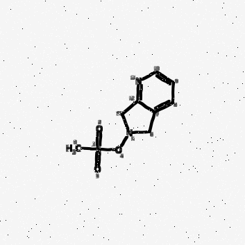 CS(=O)(=O)ON1Cc2cccnc2C1